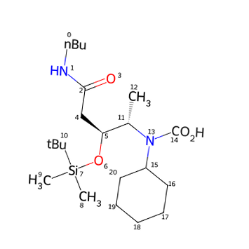 CCCCNC(=O)C[C@H](O[Si](C)(C)C(C)(C)C)[C@H](C)N(C(=O)O)C1CCCCC1